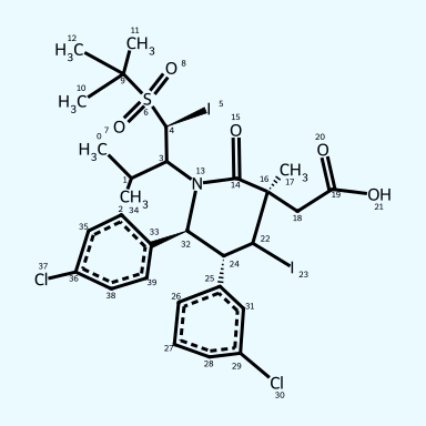 CC(C)C([C@H](I)S(=O)(=O)C(C)(C)C)N1C(=O)[C@@](C)(CC(=O)O)C(I)[C@H](c2cccc(Cl)c2)[C@H]1c1ccc(Cl)cc1